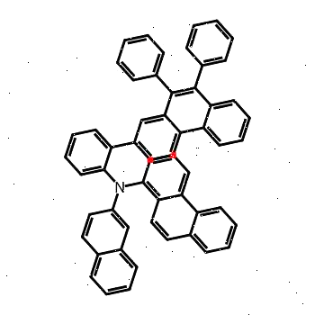 c1ccc(-c2c(-c3ccccc3)c3cc(-c4ccccc4N(c4ccc5ccccc5c4)c4cccc5c4ccc4ccccc45)ccc3c3ccccc23)cc1